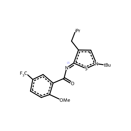 COc1ccc(C(F)(F)F)cc1C(=O)/N=c1\sn(C(C)(C)C)cc1CC(C)C